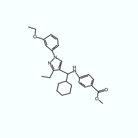 CCOc1cccc(-n2cc(C(Nc3ccc(C(=O)OC)cc3)C3CCCCC3)c(CC)n2)c1